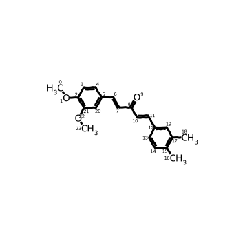 COc1ccc(/C=C/C(=O)/C=C/c2ccc(C)c(C)c2)cc1OC